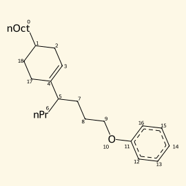 CCCCCCCCC1CC=C(C(CCC)CCCOc2ccccc2)CC1